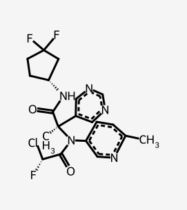 Cc1ccc(N(C(=O)[C@H](F)Cl)[C@@](C)(C(=O)N[C@@H]2CCC(F)(F)C2)c2cncnc2)cn1